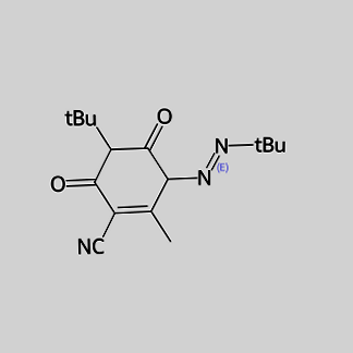 CC1=C(C#N)C(=O)C(C(C)(C)C)C(=O)C1/N=N/C(C)(C)C